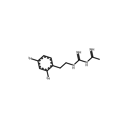 [2H]c1ccc(CCNC(=N)NC(C)=N)c([2H])c1